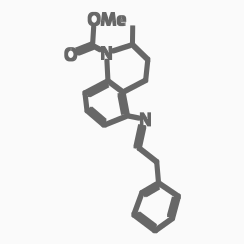 COC(=O)N1c2cccc(/N=C/Cc3ccccc3)c2CCC1C